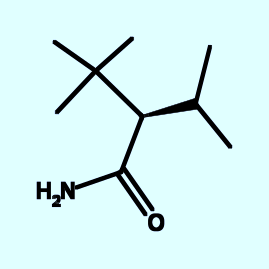 CC(C)[C@@H](C(N)=O)C(C)(C)C